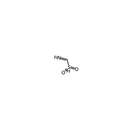 N=C[SH](=O)=O